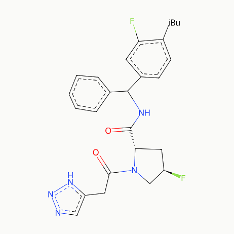 CCC(C)c1ccc(C(NC(=O)[C@@H]2C[C@@H](F)CN2C(=O)Cc2cnn[nH]2)c2ccccc2)cc1F